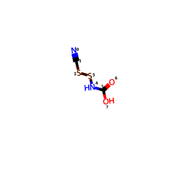 N#CSSNC(=O)O